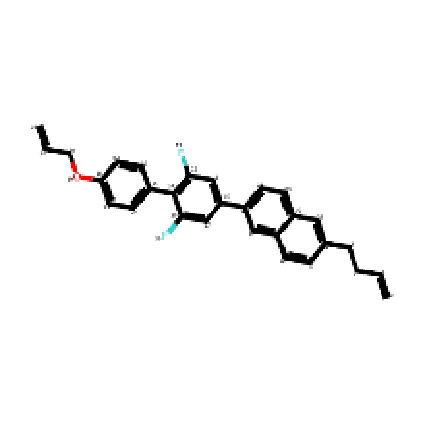 C=CCCc1ccc2cc(-c3cc(F)c(-c4ccc(OCC=C)cc4)c(F)c3)ccc2c1